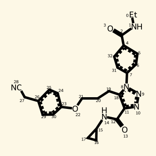 CCNC(=O)c1ccc(-n2nnc(C(=O)NC3CC3)c2CCCOc2ccc(CC#N)cc2)cc1